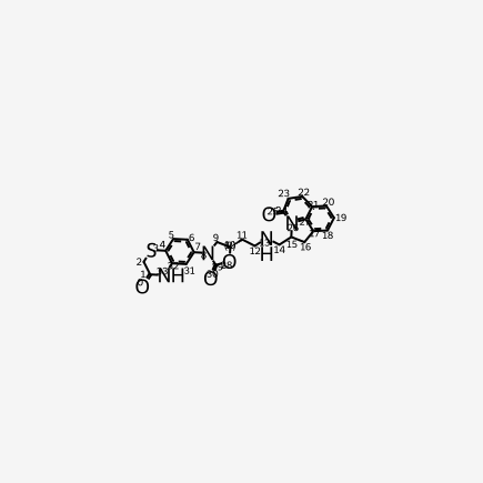 O=C1CSc2ccc(N3C[C@@H](CCNCC4Cc5cccc6ccc(=O)n4c56)OC3=O)cc2N1